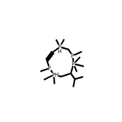 CC(C)C1C[PH](C)(C)P(C)C#C[PH](C)(C)CP(C)P1(C)(C)C